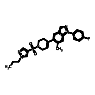 CCCn1cc(S(=O)(=O)N2CC=C(c3cc4cnn(-c5ccc(F)cc5)c4cc3C)CC2)cn1